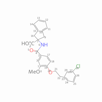 COc1cc(C(=O)NC2(C(=O)O)Cc3ccccc3C2)ccc1OCCc1cccc(Cl)c1